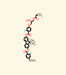 C=CC(=O)OCC(O)COc1ccc(C(=O)Oc2ccc3c(c2)C(C)(C)c2cc(OC(=O)c4ccc(CCCCCCCC)cc4F)ccc2-3)c(F)c1